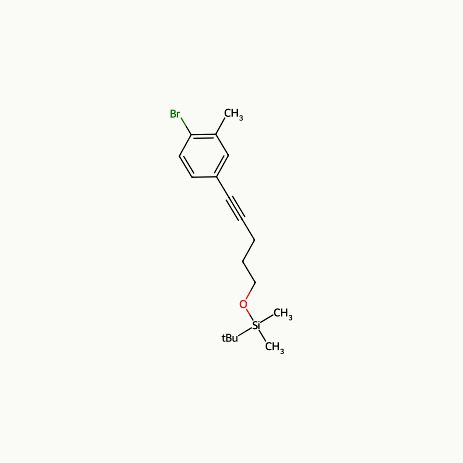 Cc1cc(C#CCCCO[Si](C)(C)C(C)(C)C)ccc1Br